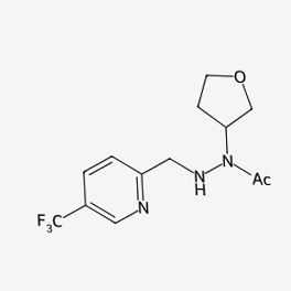 CC(=O)N(NCc1ccc(C(F)(F)F)cn1)C1CCOC1